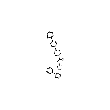 O=C(CN1CC[C@H](c2sccc2-c2cccnc2)C1)N1CCN(c2ccc(-c3ncccn3)cc2)CC1